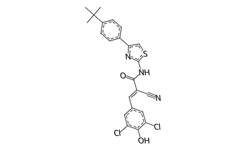 CC(C)(C)c1ccc(-c2csc(NC(=O)/C(C#N)=C/c3cc(Cl)c(O)c(Cl)c3)n2)cc1